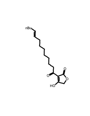 CCCCC=CCCCCCCCC(=O)C1=C(O)COC1=O